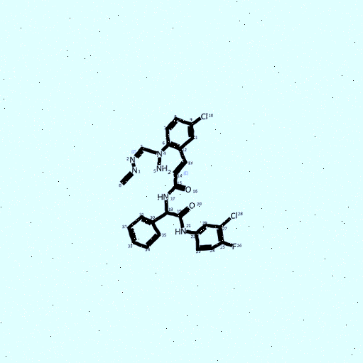 C=N/N=C\N(N)c1ccc(Cl)cc1/C=C/C(=O)NC(C(=O)Nc1ccc(F)c(Cl)c1)c1ccccc1